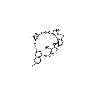 CN1NCC2=C1c1c(Cl)ccc3c(c(C(=O)O)[nH]c13)CCCOc1cc(cc3cc(F)ccc13)CCc1cc(nn1C)CSC2